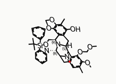 COCOc1c(OC)c(C)cc2c1C1[C@@H]3Cc4c(O)c(C)c5c(c4[C@H](CO[Si](c4ccccc4)(c4ccccc4)C(C)(C)C)N3[C@@H](C#N)C(C2)N1C)OCO5